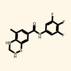 Cc1cc(C(=O)Nc2cc(F)c(F)c(F)c2)cc2c1NCNS2